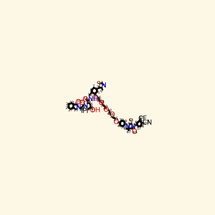 Cc1ncsc1-c1ccc(CNC(=O)[C@@H]2C[C@@H](O)CN2C(=O)[C@H](C(C)C)N2Cc3ccccc3C2=O)c(OCCOCCOCCOCCOc2ccc(N3C(=S)N(c4ccc(C#N)c(C(F)(F)F)c4)C(=O)C3(C)C)cc2)c1